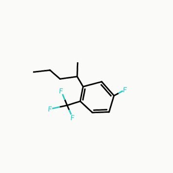 CCCC(C)c1cc(F)ccc1C(F)(F)F